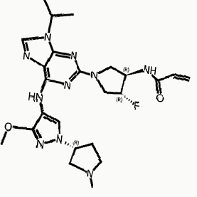 C=CC(=O)N[C@@H]1CN(c2nc(Nc3cn([C@@H]4CCN(C)C4)nc3OC)c3ncn(C(C)C)c3n2)C[C@H]1F